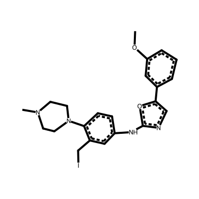 COc1cccc(-c2cnc(Nc3ccc(N4CCN(C)CC4)c(CI)c3)o2)c1